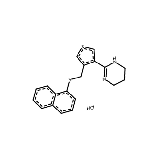 Cl.c1ccc2c(SCc3cscc3C3=NCCCN3)cccc2c1